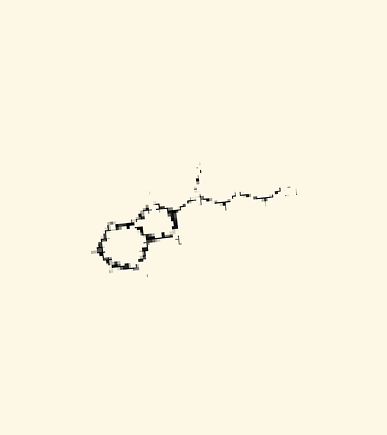 CCOC[S+]([O-])c1nc2cccnc2s1